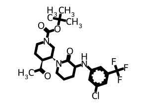 CC(=O)[C@H]1CCN(C(=O)OC(C)(C)C)C[C@@H]1N1CCCC(Nc2cc(Cl)cc(C(F)(F)F)c2)C1=O